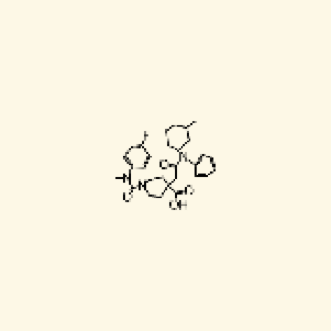 CC1CCCC(N(C(=O)CC2(C(=O)O)CCN(C(=O)N(C)c3ccc(F)cc3)CC2)c2ccccc2)C1